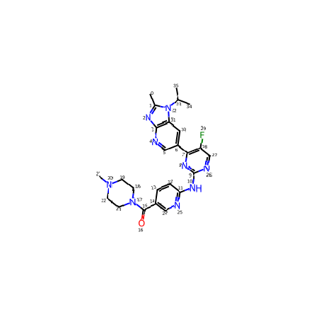 Cc1nc2ncc(-c3nc(Nc4ccc(C(=O)N5CCN(C)CC5)cn4)ncc3F)cc2n1C(C)C